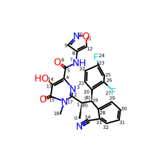 C[C@@H](c1nc(C(=O)Nc2cnoc2)c(O)c(=O)n1C)[C@@H](c1ccc(F)cc1F)c1ccccc1C#N